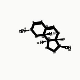 CCC[C@@H]1C=CC2=CC[C@]3(C)[C@@H](O)CC[C@H]3[C@@H]2C1